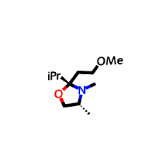 COCC[C@@]1(C(C)C)OC[C@@H](C)N1C